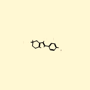 CCCOc1ccc(-c2sc3c(c2C(=O)O)CC(C)(C)CC3)cc1